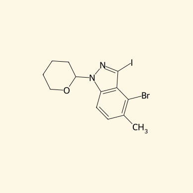 Cc1ccc2c(c(I)nn2C2CCCCO2)c1Br